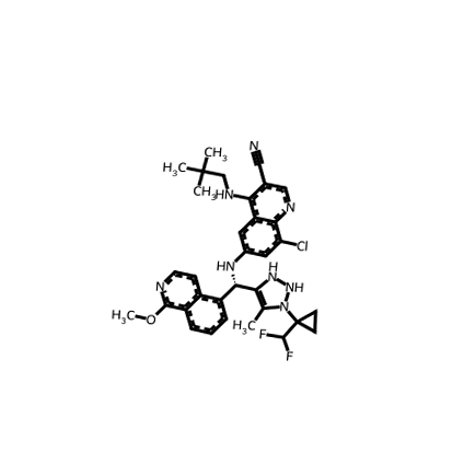 COc1nccc2c([C@H](Nc3cc(Cl)c4ncc(C#N)c(NCC(C)(C)C)c4c3)C3=C(C)N(C4(C(F)F)CC4)NN3)cccc12